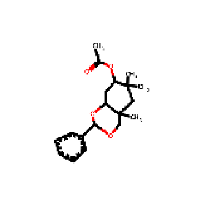 CC(=O)OC1CC2OC(c3ccccc3)OCC2(C)CC1(C)C